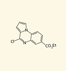 CCOC(=O)c1ccc2c(c1)nc(Cl)c1cccn12